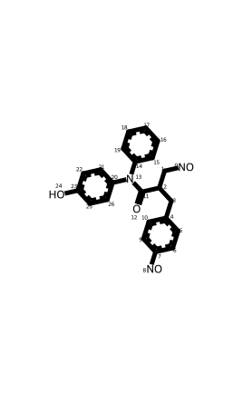 O=NCC(Cc1ccc(N=O)cc1)C(=O)N(c1ccccc1)c1ccc(O)cc1